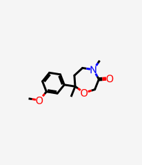 COc1cccc(C2(C)CCN(C)C(=O)CO2)c1